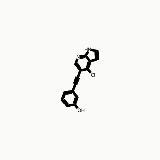 Oc1cccc(C#Cc2cnc3[nH]ccc3c2Cl)c1